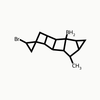 BC12C3CC3C(C)C1C1C3C(CC34CC4Br)C12